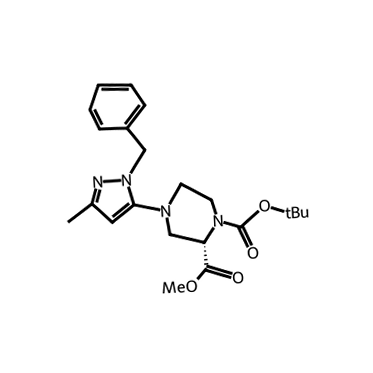 COC(=O)[C@@H]1CN(c2cc(C)nn2Cc2ccccc2)CCN1C(=O)OC(C)(C)C